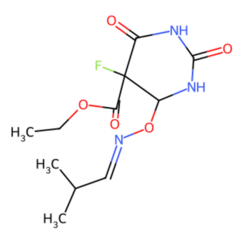 CCOC(=O)C1(F)C(=O)NC(=O)NC1ON=CC(C)C